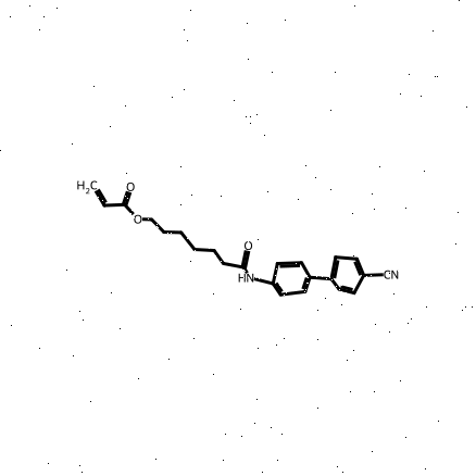 C=CC(=O)OCCCCCCC(=O)Nc1ccc(-c2ccc(C#N)cc2)cc1